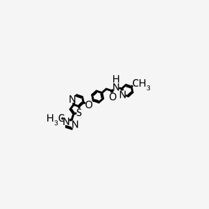 Cc1ccnc(NC(=O)Cc2ccc(Oc3ccnc4cc(-c5nccn5C)sc34)cc2)c1